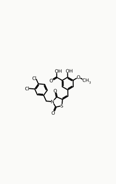 COc1cc(C=C2SC(=O)N(Cc3ccc(Cl)c(Cl)c3)C2=O)cc(C(=O)O)c1O